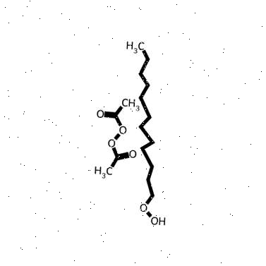 CC(=O)OOC(C)=O.CCCCCCCCCCCCOO